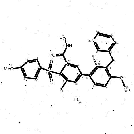 COc1ccc(S(=O)(=O)c2c(C)cc(-c3ccc(OC(F)(F)F)c(Cc4cccnc4)c3N)cc2C(=O)NO)cc1.Cl